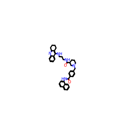 O=C(Nc1cccc2ccccc12)c1ccc(CN2CCCC(C(=O)NCCCNc3c4c(nc5ccccc35)CCCC4)C2)cc1